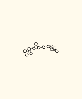 c1ccc(C2(c3ccccc3)c3ccccc3-c3c(-c4ccc5c6ccc(-c7ccc(-c8ccc9oc%10c(ccc%11c%12ccccc%12oc%11%10)c9c8)cc7)cc6c6ccccc6c5c4)cccc32)cc1